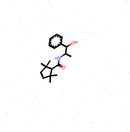 CC(NC(=O)C1C(C)(C)CCC1(C)C)C(O)c1ccccc1